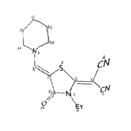 CCn1c(=C(C#N)C#N)s/c(=C\N2CCCCC2)c1=O